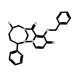 O=C1c2c(OCc3ccccc3)c(=O)ccn2N2CN1CC(F)CCC2c1ccccc1